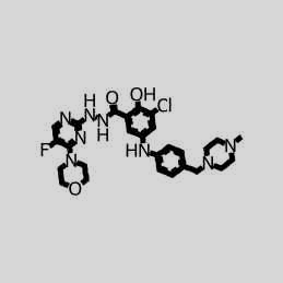 CN1CCN(Cc2ccc(Nc3cc(Cl)c(O)c(C(=O)NNc4ncc(F)c(N5CCOCC5)n4)c3)cc2)CC1